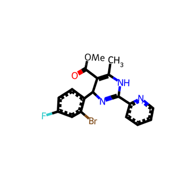 COC(=O)C1=C(C)NC(c2ccccn2)=NC1c1ccc(F)cc1Br